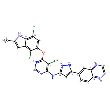 Cc1cc2c(F)c(Oc3ncnc(Nc4cc(-c5ccc6nccnc6c5)[nH]n4)c3F)cc(F)c2[nH]1